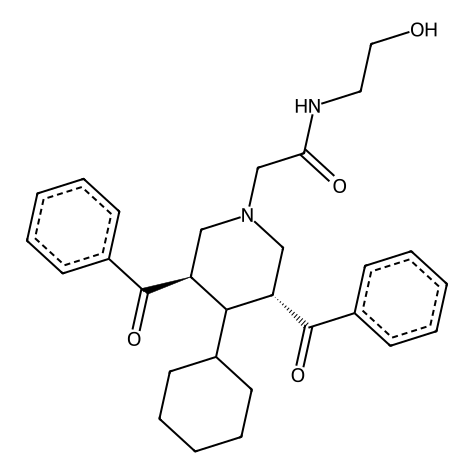 O=C(CN1C[C@H](C(=O)c2ccccc2)C(C2CCCCC2)[C@@H](C(=O)c2ccccc2)C1)NCCO